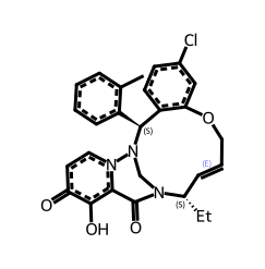 CC[C@H]1/C=C/COc2cc(Cl)ccc2[C@H](c2ccccc2C)N2CN1C(=O)c1c(O)c(=O)ccn12